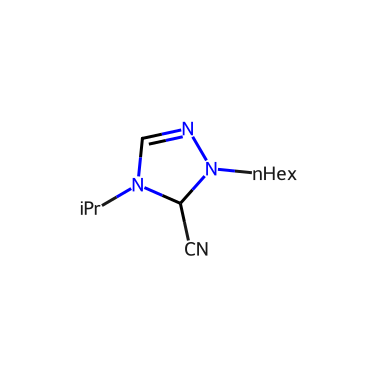 CCCCCCN1N=CN(C(C)C)C1C#N